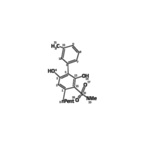 CCCCCc1cc(O)c(-c2cccc(C)c2)c(O)c1S(=O)(=O)NC